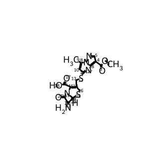 COC(=O)c1cnn2c(C)cc(SCC3=C(C(=O)O)N4C(=O)[C@@H](N)[C@H]4SC3)nc12